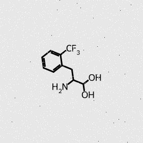 NC(Cc1ccccc1C(F)(F)F)C(O)O